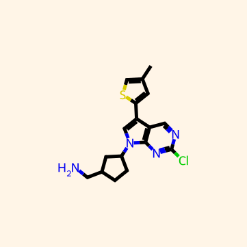 Cc1csc(-c2cn(C3CCC(CN)C3)c3nc(Cl)ncc23)c1